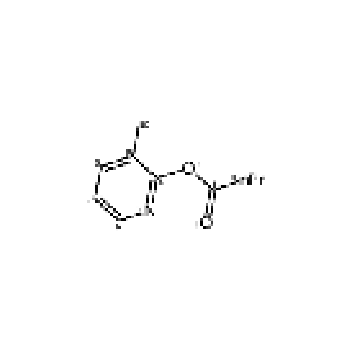 CCCC(=O)Oc1ncccc1C